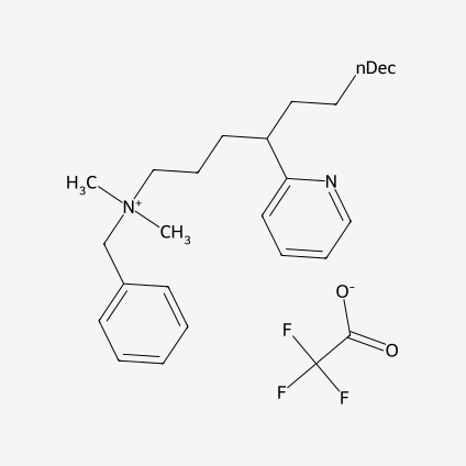 CCCCCCCCCCCCC(CCC[N+](C)(C)Cc1ccccc1)c1ccccn1.O=C([O-])C(F)(F)F